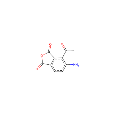 CC(=O)c1c(N)ccc2c1C(=O)OC2=O